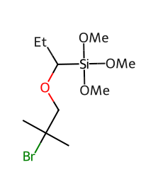 CCC(OCC(C)(C)Br)[Si](OC)(OC)OC